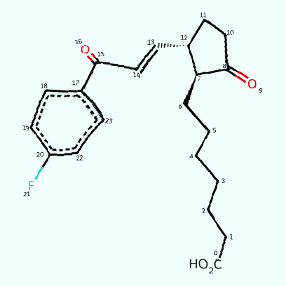 O=C(O)CCCCCC[C@@H]1C(=O)CC[C@H]1C=CC(=O)c1ccc(F)cc1